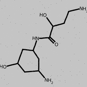 NCCC(O)C(=O)NC1CC(N)CC(O)C1